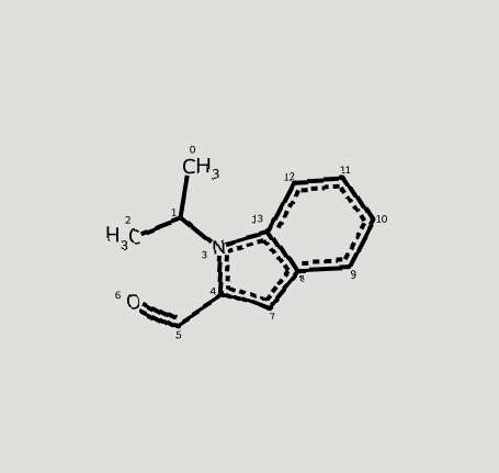 CC(C)n1c(C=O)cc2ccccc21